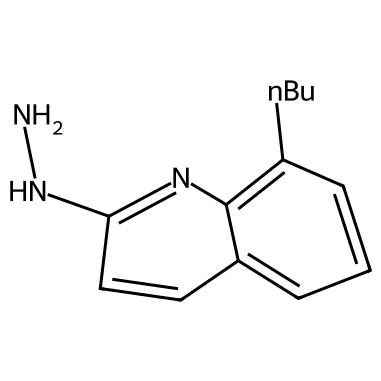 CCCCc1cccc2ccc(NN)nc12